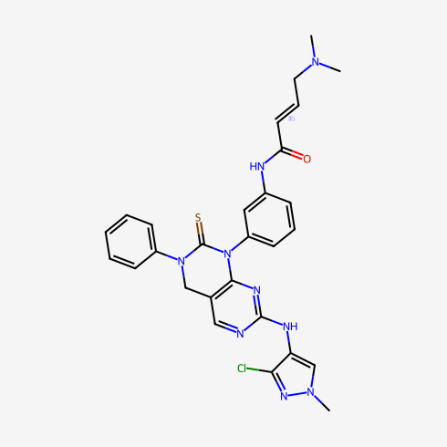 CN(C)C/C=C/C(=O)Nc1cccc(N2C(=S)N(c3ccccc3)Cc3cnc(Nc4cn(C)nc4Cl)nc32)c1